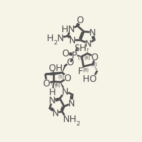 Nc1nc2c(ncn2[C@@H]2O[C@H](CO)[C@@H](F)[C@H]2P(=O)(S)OC[C@]23O[C@@H](n4cnc5c(N)ncnc54)[C@@H]4OC2[C@]43O)c(=O)[nH]1